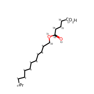 CC(C)CCCCCCCCCCOC(=O)CCCC(=O)O